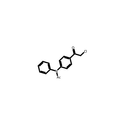 CC(=O)N(c1ccccc1)c1ccc(C(=O)CCl)cc1